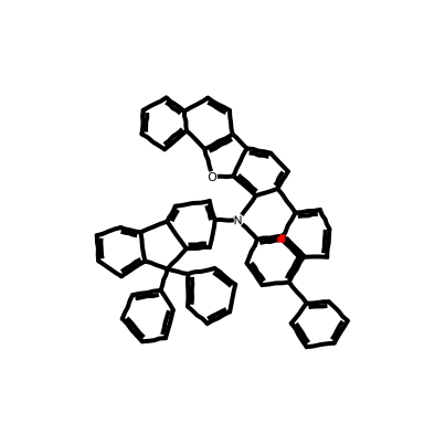 c1ccc(-c2ccc(N(c3ccc4c(c3)C(c3ccccc3)(c3ccccc3)c3ccccc3-4)c3c(-c4ccccc4)ccc4c3oc3c5ccccc5ccc43)cc2)cc1